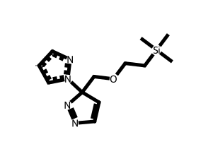 C[Si](C)(C)CCOCC1(n2c[c]cn2)C=CN=N1